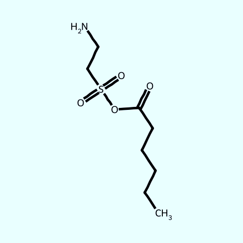 CCCCCC(=O)OS(=O)(=O)CCN